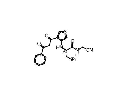 CC(C)C[C@H](Nc1cscc1C(=O)CC(=O)c1ccccc1)C(=O)NCC#N